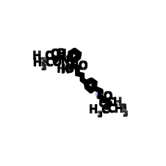 CC(C)(C)OC(=O)/C=C/c1ccc(CCCC(=O)N(O)c2ccccc2NC(=O)OC(C)(C)C)cc1